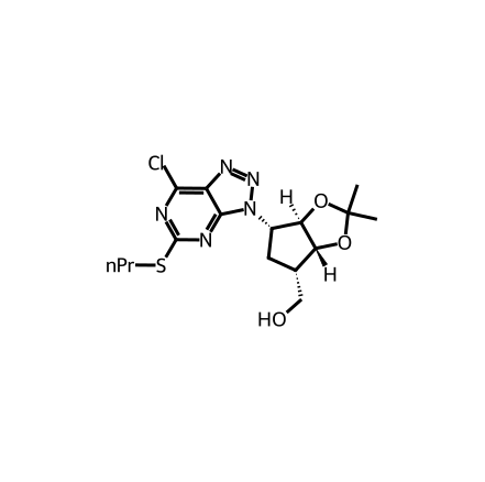 CCCSc1nc(Cl)c2nnn([C@H]3C[C@@H](CO)[C@H]4OC(C)(C)O[C@@H]43)c2n1